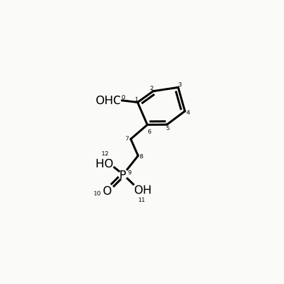 O=Cc1ccccc1CCP(=O)(O)O